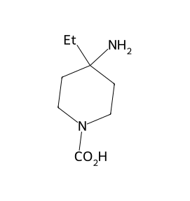 CCC1(N)CCN(C(=O)O)CC1